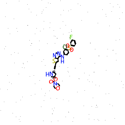 O=C(O[C@H]1CN[C@H](C#Cc2cc3c(Nc4ccc(S(=O)(=O)c5cccc(F)c5)c(Cl)c4)ncnc3s2)C1)N1CCOCC1